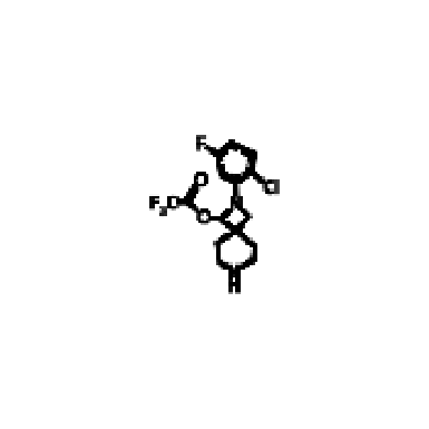 O=C(OC1N(c2cc(F)ccc2Cl)CC12CCNCC2)C(F)(F)F